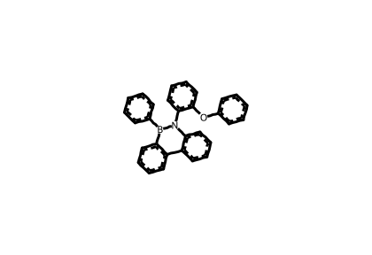 c1ccc(Oc2ccccc2N2B(c3ccccc3)c3ccccc3-c3ccccc32)cc1